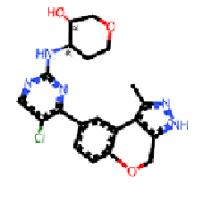 Cc1n[nH]c2c1-c1cc(-c3nc(N[C@@H]4CCOC[C@H]4O)ncc3Cl)ccc1OC2